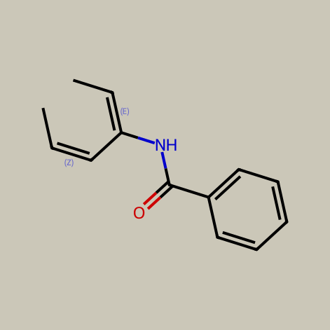 C/C=C\C(=C/C)NC(=O)c1ccccc1